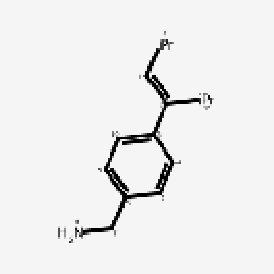 CC(C)C=C(c1ccc(CN)cc1)C(C)C